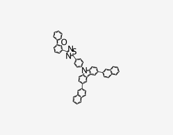 c1ccc2cc(-c3ccc4c(c3)c3cc(-c5ccc6ccccc6c5)ccc3n4-c3ccc(-c4nc(-c5cccc6c5oc5ccccc56)ns4)cc3)ccc2c1